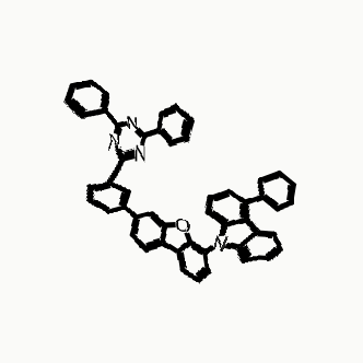 c1ccc(-c2nc(-c3ccccc3)nc(-c3cccc(-c4ccc5c(c4)oc4c(-n6c7ccccc7c7c(-c8ccccc8)cccc76)cccc45)c3)n2)cc1